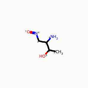 CC(O)C(N)CN=O